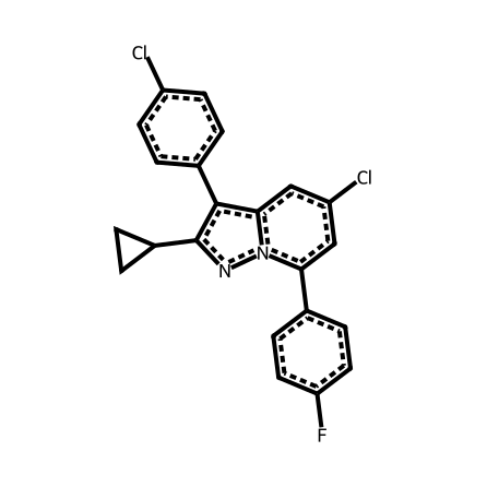 Fc1ccc(-c2cc(Cl)cc3c(-c4ccc(Cl)cc4)c(C4CC4)nn23)cc1